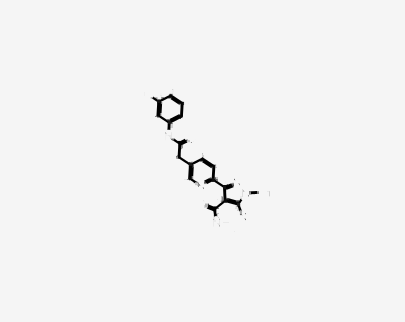 CC(C)n1nc(-c2ccc(CC(=O)Nc3cccc(C(F)(F)F)c3)cn2)c(C(N)=O)c1N